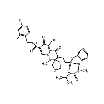 CC(C)OC(=O)[C@H](C)NP(=O)(CCN1C(=O)c2c(O)c(=O)c(C(=O)NCc3ccc(F)cc3F)cn2N(C)C12CCOC2)Oc1ccccc1